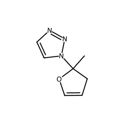 CC1(n2ccnn2)CC=CO1